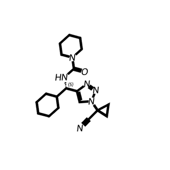 N#CC1(n2cc([C@@H](NC(=O)N3CCCCC3)C3CCCCC3)nn2)CC1